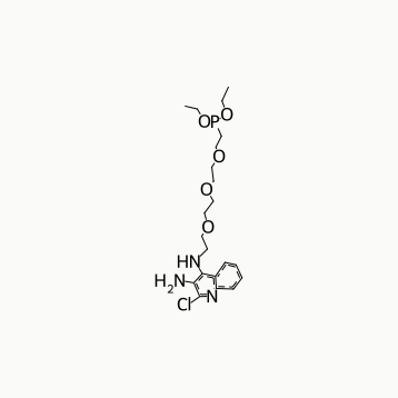 CCOP(CCOCCOCCOCCNc1c(N)c(Cl)nc2ccccc12)OCC